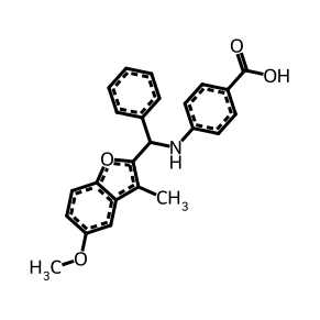 COc1ccc2oc(C(Nc3ccc(C(=O)O)cc3)c3ccccc3)c(C)c2c1